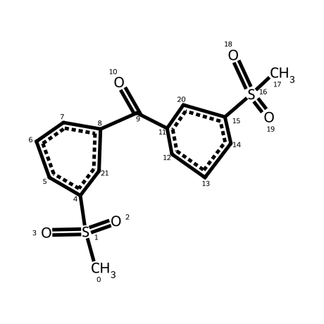 CS(=O)(=O)c1cccc(C(=O)c2cccc(S(C)(=O)=O)c2)c1